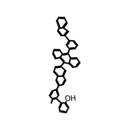 Cc1ccc(-c2ccc3cc(-c4c5ccccc5c(-c5cccc(-c6ccc7ccccc7c6)c5)c5ccccc45)ccc3c2)cc1-c1ccccc1O